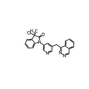 CC1(Cl)C(=O)N(c2cncc(Cc3nncc4ccccc34)c2)c2ccccc21